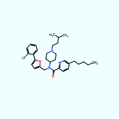 CCCCCc1ccc(C(=O)N(Cc2ccc(-c3ccccc3Cl)o2)C2CCN(CCC(C)C)CC2)nc1